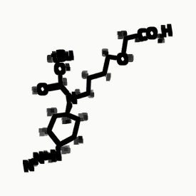 CC(C)(C)OC(=O)N(CCCCOCC(=O)O)[C@H]1CC[C@@H](N=[N+]=[N-])CC1